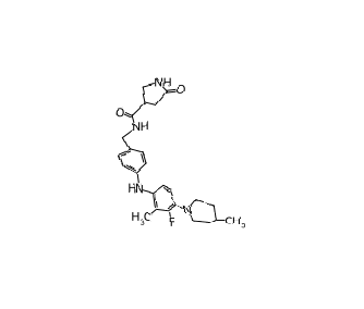 Cc1c(Nc2ccc(CNC(=O)C3CNC(=O)C3)cc2)ccc(N2CCC(C)CC2)c1F